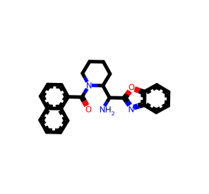 NC(c1nc2ccccc2o1)C1CCCCN1C(=O)c1cccc2ccccc12